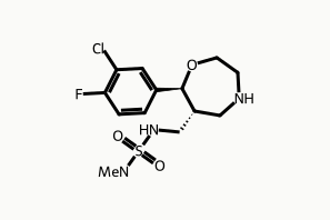 CNS(=O)(=O)NC[C@H]1CNCCO[C@@H]1c1ccc(F)c(Cl)c1